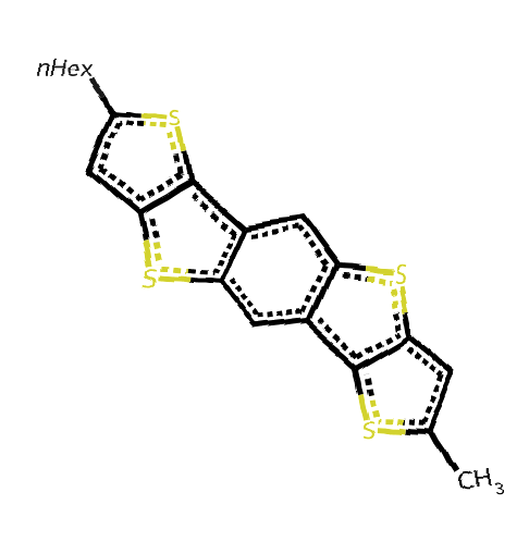 CCCCCCc1cc2sc3cc4c(cc3c2s1)sc1cc(C)sc14